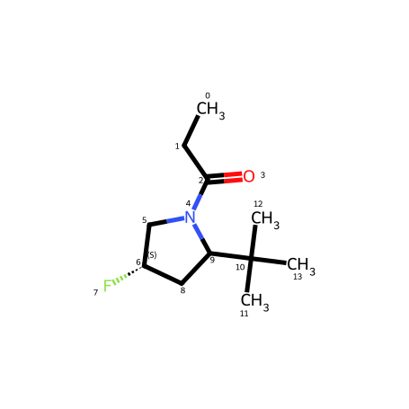 CCC(=O)N1C[C@@H](F)CC1C(C)(C)C